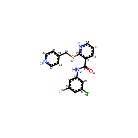 O=C(Nc1cc(F)cc(F)c1)c1cccnc1SCc1ccncc1